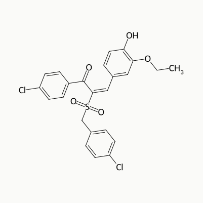 CCOc1cc(/C=C(\C(=O)c2ccc(Cl)cc2)S(=O)(=O)Cc2ccc(Cl)cc2)ccc1O